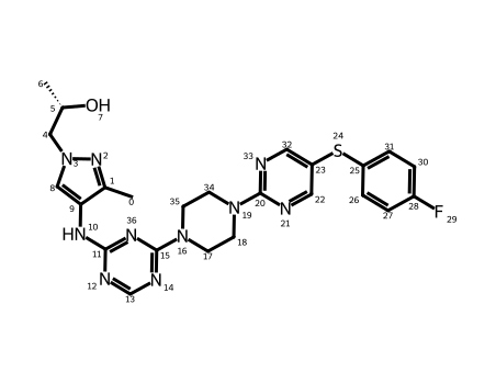 Cc1nn(C[C@H](C)O)cc1Nc1ncnc(N2CCN(c3ncc(Sc4ccc(F)cc4)cn3)CC2)n1